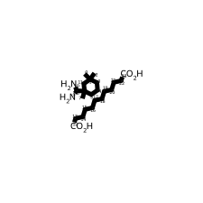 CC1(C)CCCC(C)(C(N)N)C1.O=C(O)CCCCCCCCCCC(=O)O